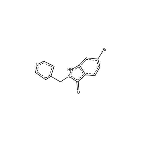 O=c1c2ccc(Br)cc2[nH]n1Cc1ccncc1